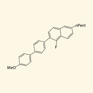 CCCCCc1ccc2c(F)c(-c3ccc(-c4ccc(OC)cc4)cc3)ccc2c1